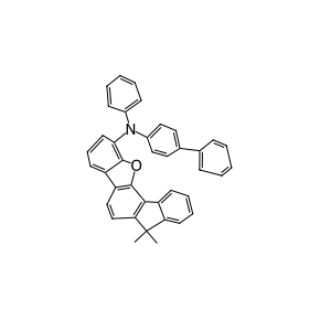 CC1(C)c2ccccc2-c2c1ccc1c2oc2c(N(c3ccccc3)c3ccc(-c4ccccc4)cc3)cccc21